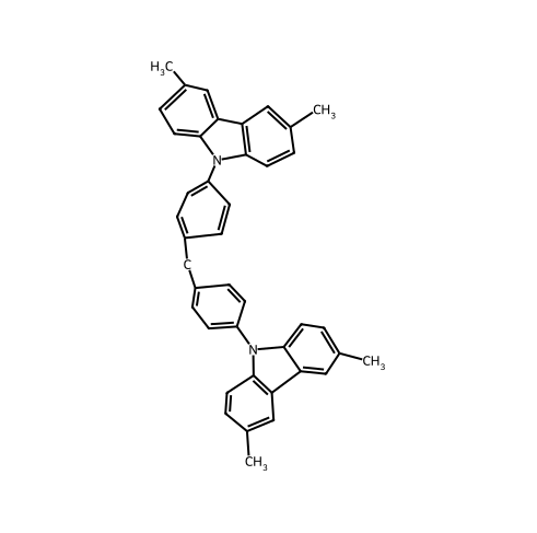 Cc1ccc2c(c1)c1cc(C)ccc1n2-c1ccc(Cc2ccc(-n3c4ccc(C)cc4c4cc(C)ccc43)cc2)cc1